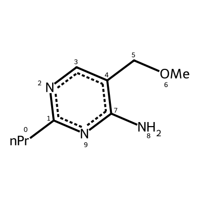 CCCc1ncc(COC)c(N)n1